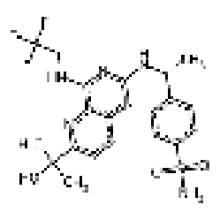 C[C@@H](Nc1nc(NCC(F)(F)F)c2nc(C(C)(C)O)ccc2n1)c1ccc(S(N)(=O)=O)cc1